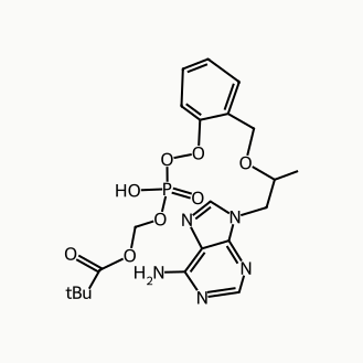 CC(Cn1cnc2c(N)ncnc21)OCc1ccccc1OOP(=O)(O)OCOC(=O)C(C)(C)C